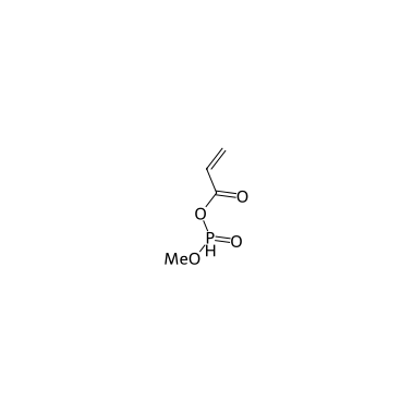 C=CC(=O)O[PH](=O)OC